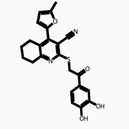 Cc1ccc(-c2c(C#N)c(SCC(=O)c3ccc(O)c(O)c3)nc3c2CCCC3)o1